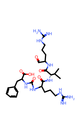 CC(C)[C@H](NC(=O)C(CCCNC(=N)N)NC(=O)NC(Cc1ccccc1)C(=O)O)C(=O)NC(C=O)CCCNC(=N)N